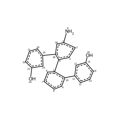 Nc1ccc(-c2ccccc2-c2cccc(O)c2)c(-c2cccc(O)c2)c1